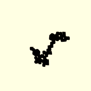 Cc1sc2c(c1C)C(c1ccc(Cl)cc1)=N[C@@H](CC(=O)NCCCCCOc1cccc3c1CN(C1CCC(=O)NC1=O)C3=O)c1nnc(C)n1-2